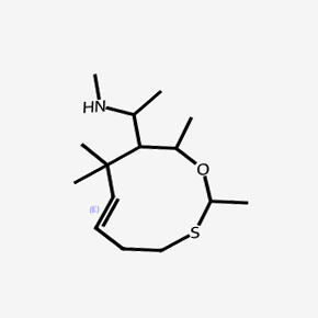 CNC(C)C1C(C)OC(C)SCC/C=C/C1(C)C